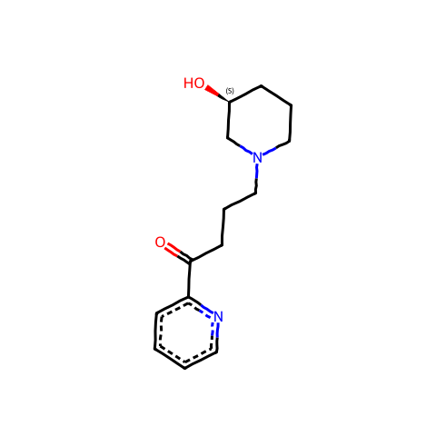 O=C(CCCN1CCC[C@H](O)C1)c1ccccn1